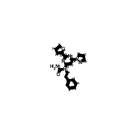 NC(=O)N(CCc1ccccc1)c1cc(-n2cccn2)nc(-c2ccco2)n1